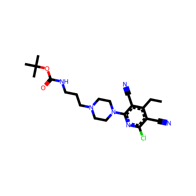 CCc1c(C#N)c(Cl)nc(N2CCN(CCCNC(=O)OC(C)(C)C)CC2)c1C#N